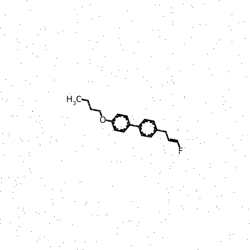 CCCCOc1ccc(-c2ccc(CC=CF)cc2)cc1